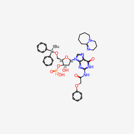 C1CCC2=NCCCN2CC1.CC(C)(C)[Si](OC[C@H]1O[C@@H](n2cnc3c(=O)[nH]c(NC(=O)COc4ccccc4)nc32)C[C@@]1(O)O[PH](=O)O)(c1ccccc1)c1ccccc1